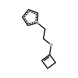 C1=C(OCCn2cccc2)CC1